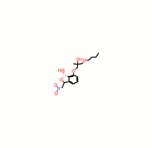 CCCCOCC(C)(O)COc1cccc2c1B(O)OC2C[N+](=O)[O-]